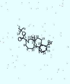 CC(C)(C)OC(=O)N1CCCN2c3nccc(Br)c3CC[C@@H]2C1